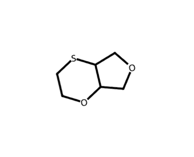 C1CSC2COCC2O1